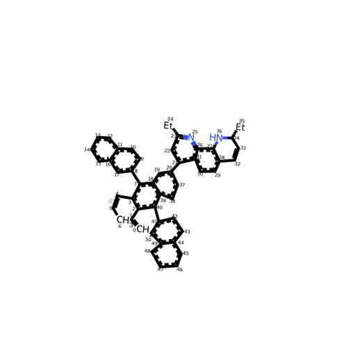 C=Cc1c(/C=C\C)c(-c2ccc3ccccc3c2)c2cc(-c3cc(CC)nc4c5c(ccc34)C=CC(CC)N5)ccc2c1-c1ccc2ccccc2c1